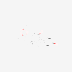 CCCC(=O)O[C@]1(C(=O)CF)CC[C@H]2[C@@H]3CCC4=CC(=O)C=C[C@]4(C)C3(F)C(=O)C[C@@]21C